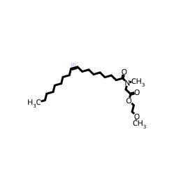 CCCCCCCC/C=C\CCCCCCCC(=O)N(C)CC(=O)OCCOC